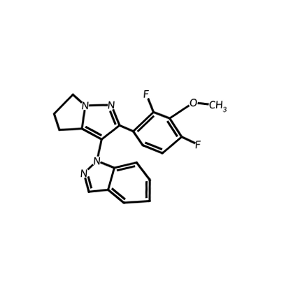 COc1c(F)ccc(-c2nn3c(c2-n2ncc4ccccc42)CCC3)c1F